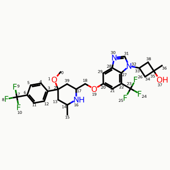 COC1(c2ccc(C(F)(F)F)cc2)CC(C)NC(COc2cc(C(F)(F)F)c3c(c2)ncn3C2CC(C)(O)C2)C1